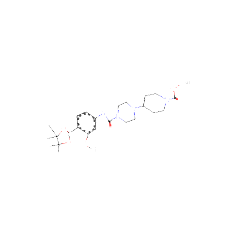 CC(C)(C)OC(=O)N1CCC(N2CCN(C(=O)Nc3ccc(B4OC(C)(C)C(C)(C)O4)c(OC(F)(F)F)c3)CC2)CC1